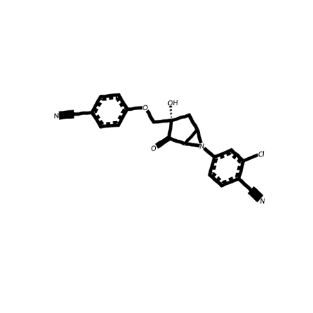 N#Cc1ccc(OC[C@@]2(O)CC3C(C2=O)N3c2ccc(C#N)c(Cl)c2)cc1